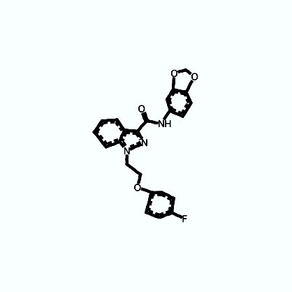 O=C(Nc1ccc2c(c1)OCO2)c1nn(CCOc2ccc(F)cc2)c2ccccc12